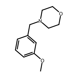 COc1cccc(CN2CCOCC2)c1